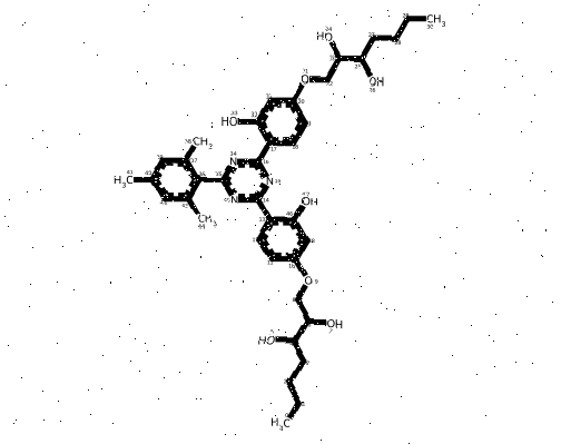 CCCCC(O)C(O)COc1ccc(-c2nc(-c3ccc(OCC(O)C(O)CCCC)cc3O)nc(-c3c(C)cc(C)cc3C)n2)c(O)c1